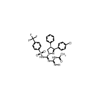 [H]/N=C(/N=C(/NS(=O)(=O)c1ccc(C(F)(F)F)cc1)N1C[C@@H](c2ccccc2)C(c2ccc(Cl)cc2)=N1)NC(C)=O